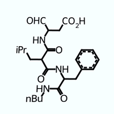 CCCCNC(=O)C(Cc1ccccc1)NC(=O)C(CC(C)C)C(=O)NC(C=O)CC(=O)O